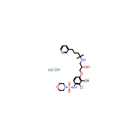 CC(C)(CCCc1cccnc1)NC[C@@H](O)COc1ccc(NS(=O)(=O)N2CCOCC2)c(Cl)c1C#N.Cl.Cl